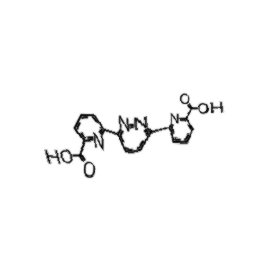 O=C(O)c1cccc(-c2ccc(-c3cccc(C(=O)O)n3)nn2)n1